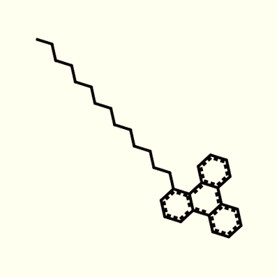 CCCCCCCCCCCCCCc1cccc2c3ccccc3c3ccccc3c12